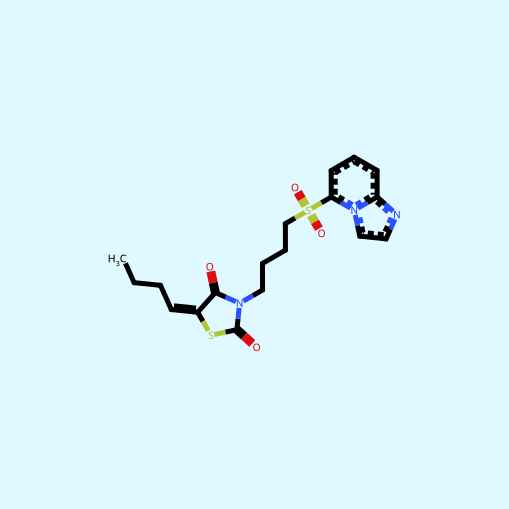 CCCC=C1SC(=O)N(CCCCS(=O)(=O)c2cccc3nccn23)C1=O